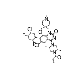 C=CC(=O)N1C[C@H](C)N(c2nc(=O)n3c4c(c(-c5cc(Cl)c(F)cc5F)c(Cl)cc24)OCC2(CCN(C)CC2)C3)C[C@H]1C